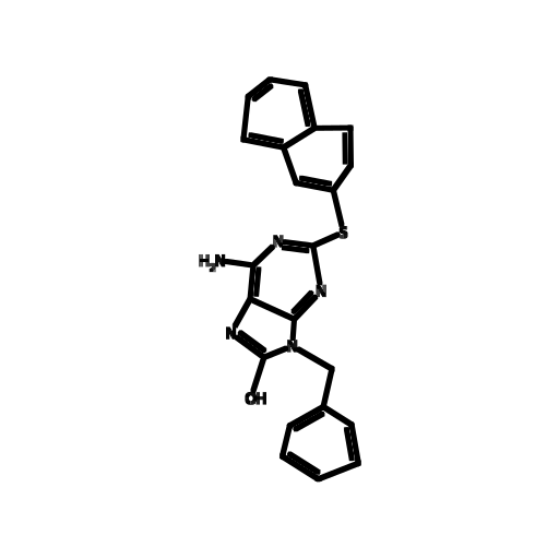 Nc1nc(Sc2ccc3ccccc3c2)nc2c1nc(O)n2Cc1ccccc1